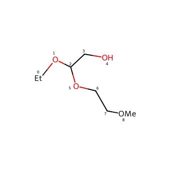 CCOC(CO)OCCOC